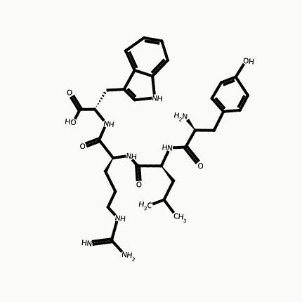 CC(C)C[C@H](NC(=O)[C@@H](N)Cc1ccc(O)cc1)C(=O)N[C@@H](CCCNC(=N)N)C(=O)N[C@@H](Cc1c[nH]c2ccccc12)C(=O)O